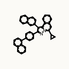 c1ccc2cc(-c3c(-c4ccc(-c5cccc6ccccc56)cc4)nn4c(C5CC5)cc5ccccc5c34)ccc2c1